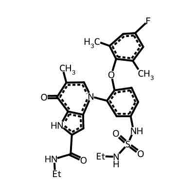 CCNC(=O)c1cc2c([nH]1)c(=O)c(C)cn2-c1cc(NS(=O)(=O)NCC)ccc1Oc1c(C)cc(F)cc1C